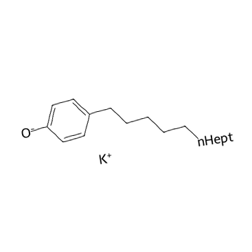 CCCCCCCCCCCCc1ccc([O-])cc1.[K+]